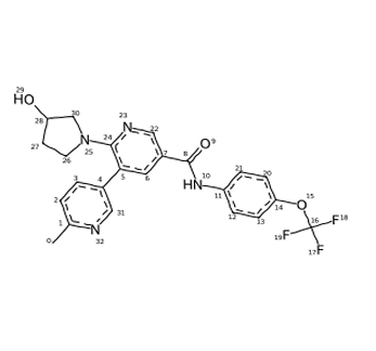 Cc1ccc(-c2cc(C(=O)Nc3ccc(OC(F)(F)F)cc3)cnc2N2CCC(O)C2)cn1